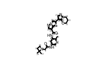 Cc1ncc(NC(=O)CN2CCC2(C)C)cc1NC(=O)c1cnn2cc(-c3cnn4c3OCCC4)sc12